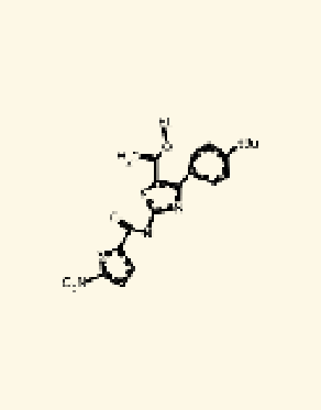 C=C(OCC)c1sc(NC(=O)c2ccc([N+](=O)[O-])s2)nc1-c1ccc(C(C)(C)C)cc1